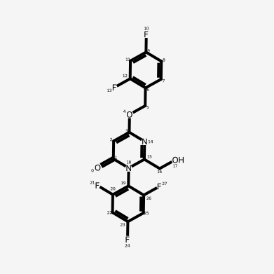 O=c1cc(OCc2ccc(F)cc2F)nc(CO)n1-c1c(F)cc(F)cc1F